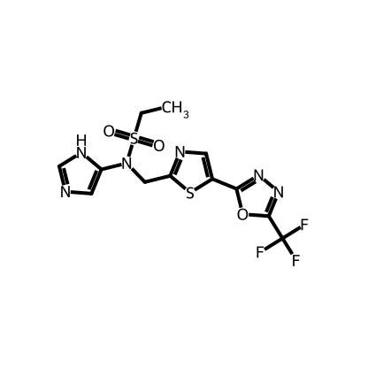 CCS(=O)(=O)N(Cc1ncc(-c2nnc(C(F)(F)F)o2)s1)c1cnc[nH]1